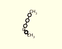 Cc1ccc(OC2CCC(C3CCC(C4CCC(C)CC4)CC3)CC2)cc1